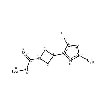 Cn1cc(F)c(C2CN(C(=O)OC(C)(C)C)C2)n1